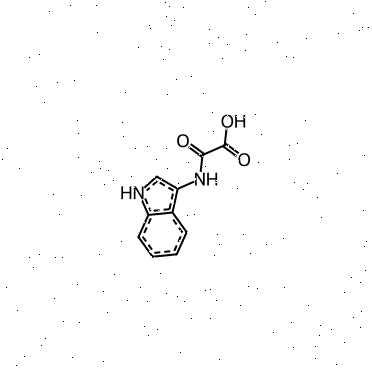 O=C(O)C(=O)Nc1c[nH]c2ccccc12